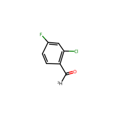 [2H]C(=O)c1ccc(F)cc1Cl